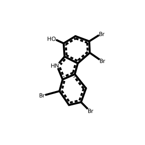 Oc1cc(Br)c(Br)c2c1[nH]c1c(Br)cc(Br)cc12